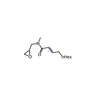 CCCCCCC/C=C/C(=O)N(C)CC1CO1